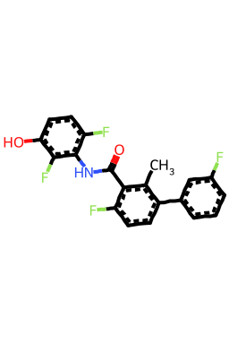 Cc1c(-c2cccc(F)c2)ccc(F)c1C(=O)Nc1c(F)ccc(O)c1F